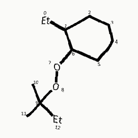 CCC1CCCCC1OOC(C)(C)CC